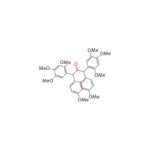 COc1ccc(C(C(=O)C(c2ccc(OC)cc2)c2cc(OC)c(OC)cc2OC)c2cc(OC)c(OC)cc2OC)cc1